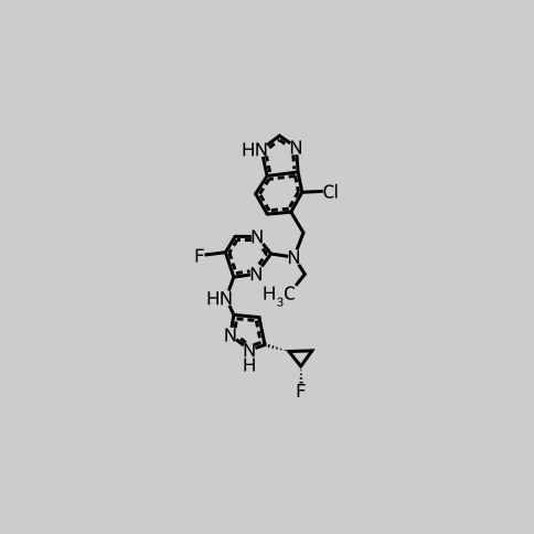 CCN(Cc1ccc2[nH]cnc2c1Cl)c1ncc(F)c(Nc2cc([C@@H]3C[C@@H]3F)[nH]n2)n1